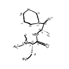 CC(=O)N(C)[C@@H](CC(C)C)C(=O)N[C@@H](C)C(=O)N1CCCCC1